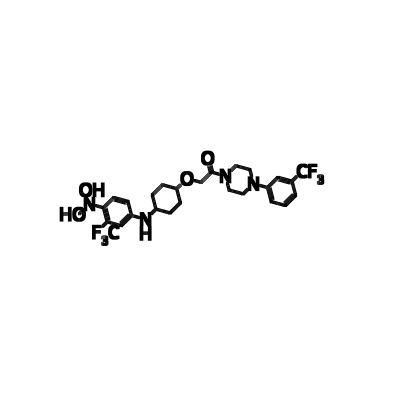 O=C(COC1CCC(Nc2ccc(N(O)O)c(C(F)(F)F)c2)CC1)N1CCN(c2cccc(C(F)(F)F)c2)CC1